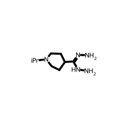 CC(C)N1CCC(/C(=N/N)NN)CC1